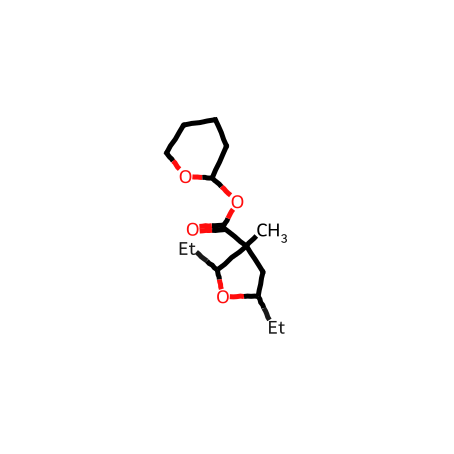 CCC1CC(C)(C(=O)OC2CCCCO2)C(CC)O1